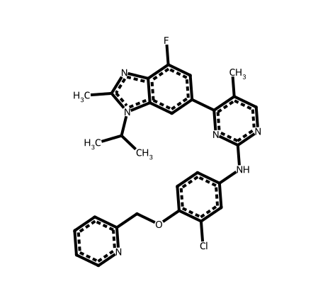 Cc1cnc(Nc2ccc(OCc3ccccn3)c(Cl)c2)nc1-c1cc(F)c2nc(C)n(C(C)C)c2c1